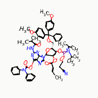 CCCC(=O)O[C@@H]1[C@H](OP(OCCC#N)N(C(C)C)C(C)C)[C@@H](COC(c2ccccc2)(c2ccc(OC)cc2)c2ccc(OC)cc2)O[C@H]1n1cnc2c(OC(=O)N(c3ccccc3)c3ccccc3)nc(NC(=O)C(C)C)nc21